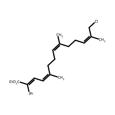 CCOC(=O)C(=CC=C(C)CCC=C(C)CCC=C(C)CCl)C(C)C